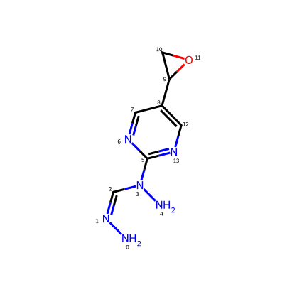 N/N=C\N(N)c1ncc(C2CO2)cn1